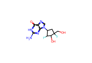 Nc1nc2c(ncn2C2CC(F)(CO)C(O)C2F)c(=O)[nH]1